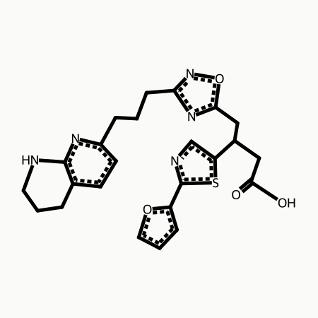 O=C(O)CC(Cc1nc(CCCc2ccc3c(n2)NCCC3)no1)c1cnc(-c2ccco2)s1